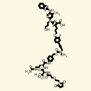 Cc1cc(N(CCCO)c2nc(C(=O)O)c(CCCOc3ccc(C#CCN(C)C(=O)OCc4ccc(NC(=O)[C@H](CCCNC(N)=O)NC(=O)[C@@H](NC(=O)CCOCCN5C(=O)C=CC5=O)C(C)C)cc4)cc3F)s2)nnc1Nc1nc2ccccc2s1